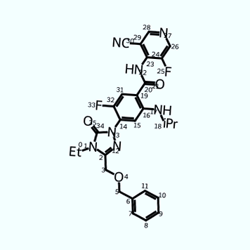 CCn1c(COCc2ccccc2)nn(-c2cc(NC(C)C)c(C(=O)Nc3c(F)cncc3C#N)cc2F)c1=O